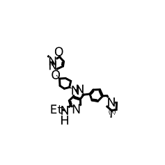 CCNc1cc2c(cn1)c(-c1ccc(CN3CC[C@@H](C)C3)cc1)nn2[C@H]1CC[C@@H](Oc2ccc(=O)n(C)n2)CC1